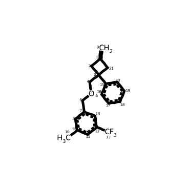 C=C1CC(COCc2cc(C)cc(C(F)(F)F)c2)(c2ccccc2)C1